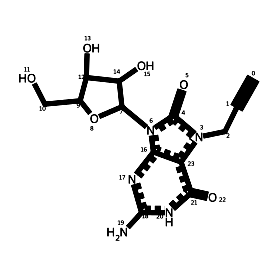 C#CCn1c(=O)n(C2OC(CO)C(O)C2O)c2nc(N)[nH]c(=O)c21